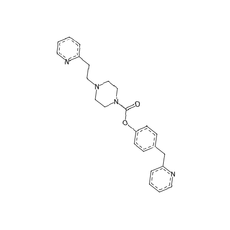 O=C(Oc1ccc(Cc2ccccn2)cc1)N1CCN(CCc2ccccn2)CC1